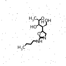 CCCCNC1=NCC([C@H](CO)[C@@H](O)[C@@H](C)O)O1